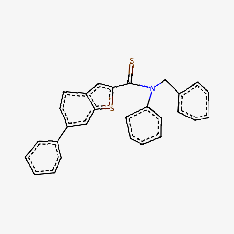 S=C(c1cc2ccc(-c3ccccc3)cc2s1)N(Cc1ccccc1)c1ccccc1